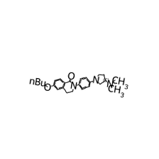 CCCCOc1ccc2c(c1)CCN(c1ccc(N3CC[C@H](N(C)C)C3)cc1)C2=O